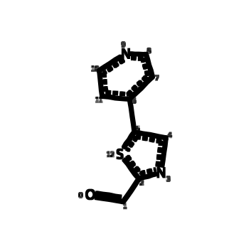 O=Cc1ncc(-c2ccncc2)s1